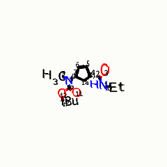 CCNC(=O)[C@H]1CC[C@@H](N(C)C(=O)OC(C)(C)C)C1